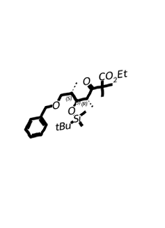 CCOC(=O)C(C)(C)C(=O)[C@H](C)[C@@H](O[Si](C)(C)C(C)(C)C)[C@@H](C)COCc1ccccc1